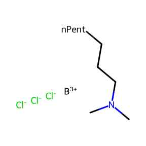 CCCCCCCCN(C)C.[B+3].[Cl-].[Cl-].[Cl-]